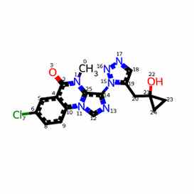 Cn1c(=O)c2cc(Cl)ccc2n2cnc(-n3nncc3CC3(O)CC3)c12